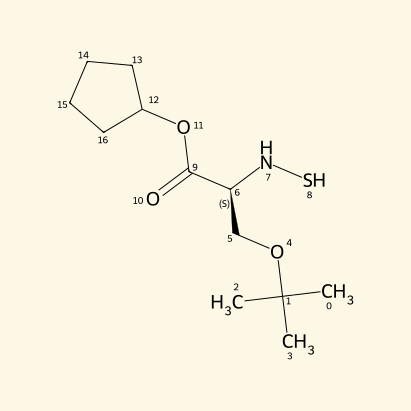 CC(C)(C)OC[C@H](NS)C(=O)OC1CCCC1